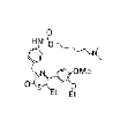 CCOc1cc(C2=NN(Cc3ccc(NC(=O)OCCCCCCN(C)C)cc3)C(=O)SC2CC)ccc1OC